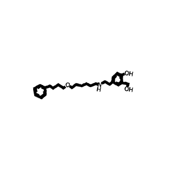 OCc1cc(CCNCCCCCCOCCCCc2ccccc2)ccc1O